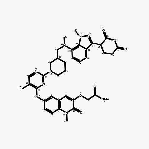 CNC(=O)COc1cc2cc(Nc3nc(N4CCCC(CN(C)c5cccc6c(C7CCC(=O)NC7=O)nn(C)c56)C4)ncc3Cl)ccc2n(C)c1=O